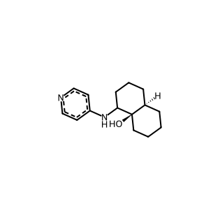 O[C@]12CCCC[C@@H]1CCCC2Nc1ccncc1